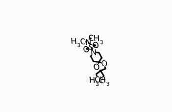 CCC1(CC)COC2(CCN(S(=O)(=O)N(C)C)CC2)O1